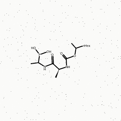 CCCCCCC(C)OC(=O)N[C@@H](C)C(=O)NC(C)P(O)O